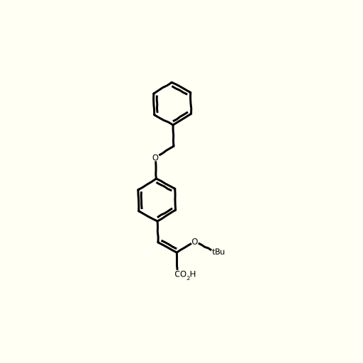 CC(C)(C)O/C(=C\c1ccc(OCc2ccccc2)cc1)C(=O)O